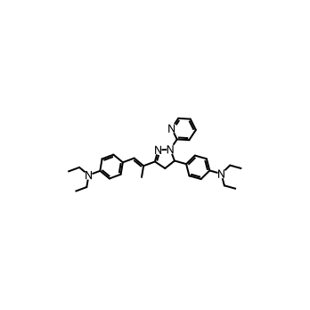 CCN(CC)c1ccc(/C=C(\C)C2=NN(c3ccccn3)C(c3ccc(N(CC)CC)cc3)C2)cc1